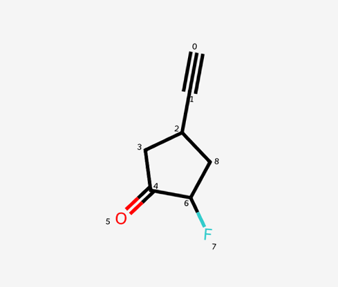 C#CC1CC(=O)C(F)C1